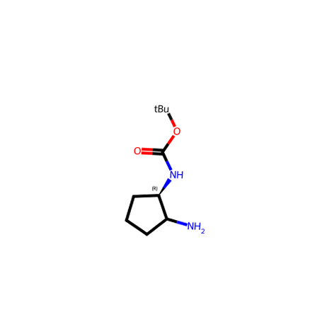 CC(C)(C)OC(=O)N[C@@H]1CCCC1N